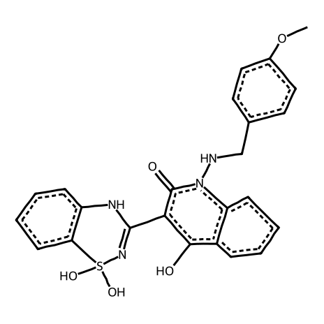 COc1ccc(CNn2c(=O)c(C3=NS(O)(O)c4ccccc4N3)c(O)c3ccccc32)cc1